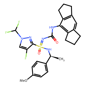 COc1ccc([C@H](C)NS(=O)(=NC(=O)Nc2c3c(cc4c2CCC4)CCC3)c2nn(C(F)F)cc2F)cc1